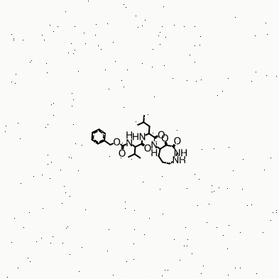 CC(C)CC(NC(=O)C(NC(=O)OCc1ccccc1)C(C)C)C(=O)NC1CCCNNC(=O)C1=O